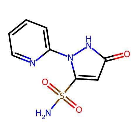 NS(=O)(=O)c1cc(=O)[nH]n1-c1ccccn1